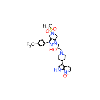 CS(=O)(=O)N1CCc2c(c(-c3ccc(C(F)(F)F)cc3)nn2CC(O)CN2CCC(c3c[nH]c4c3ccc[n+]4[O-])CC2)C1